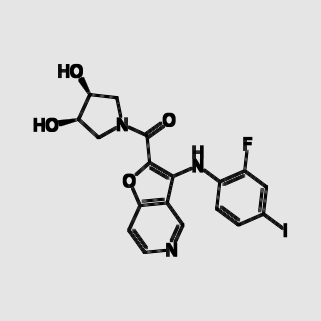 O=C(c1oc2ccncc2c1Nc1ccc(I)cc1F)N1C[C@@H](O)[C@@H](O)C1